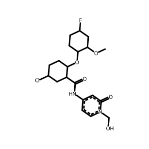 COC1CC(F)CCC1OC1CCC(Cl)CC1C(=O)Nc1ccn(CO)c(=O)c1